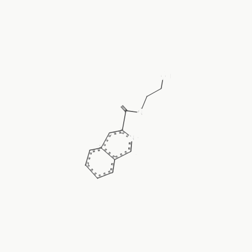 O=C(NCCO)c1cc2ccccc2cn1